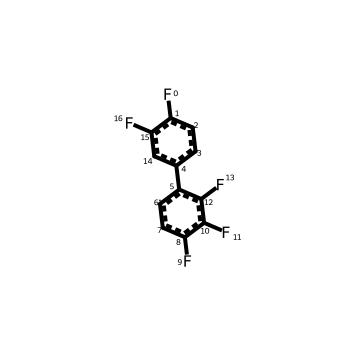 Fc1ccc(-c2[c]cc(F)c(F)c2F)cc1F